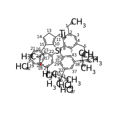 CCc1cc(CC)cc([Si](C2=[C]([Ti])CC=C2c2ccccc2)(c2cc(C)cc(C)c2)c2cc(C(C)(C)C)cc(C(C)(C)C)c2)c1.Cl.Cl.Cl